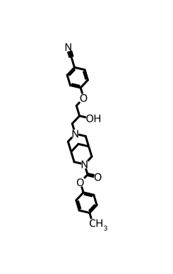 Cc1ccc(OC(=O)N2CC3CC(CN(CC(O)COc4ccc(C#N)cc4)C3)C2)cc1